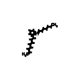 CCCCCC/C=C/[C@H]1CCC[C@@H]1CCCCCCCC